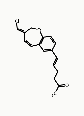 CC(=O)CCC=Cc1ccc2c(c1)C=CC(=CCl)CO2